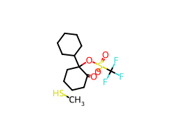 CS.O=C1CCCCC1(OS(=O)(=O)C(F)(F)F)C1CCCCC1